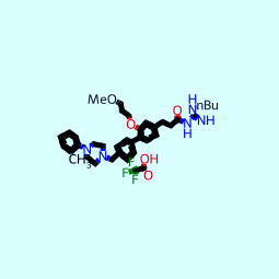 CCCCNC(=N)NC(=O)CCc1ccc(-c2ccc(CN3CCN(c4ccccc4C)CC3)cc2)c(OCCCOC)c1.O=C(O)C(F)(F)F